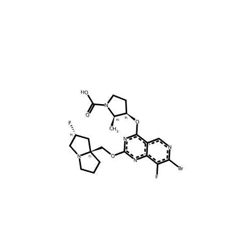 C[C@@H]1[C@H](Oc2nc(OC[C@@]34CCCN3C[C@H](F)C4)nc3c(F)c(Br)ncc23)CCN1C(=O)O